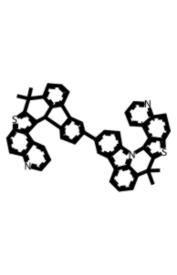 CC1(C)c2cccc3c2C(c2ccc(-c4ccc5c(c4)c4cccc6c4n5-c4c(sc5ccc7ncccc7c45)C6(C)C)cc2-3)c2c1sc1ccc3ncccc3c21